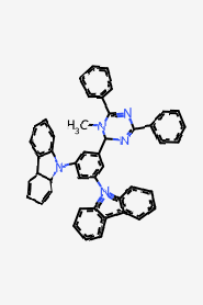 CN1C(c2ccccc2)=NC(c2ccccc2)=NC1c1cc(N2c3ccccc3C3C=CC=CC32)cc(-n2c3ccccc3c3ccccc32)c1